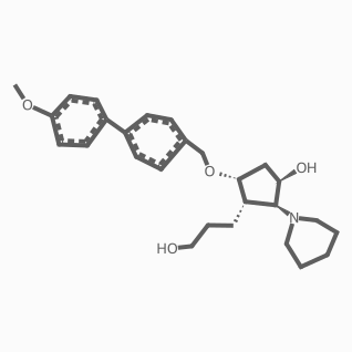 COc1ccc(-c2ccc(CO[C@@H]3C[C@@H](O)[C@@H](N4CCCCC4)[C@@H]3CCCO)cc2)cc1